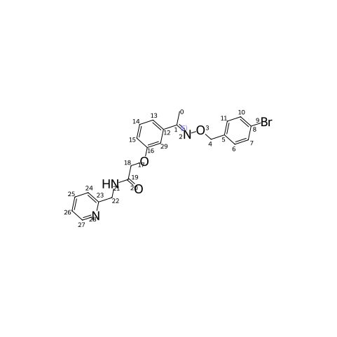 C/C(=N\OCc1ccc(Br)cc1)c1cccc(OCC(=O)NCc2ccccn2)c1